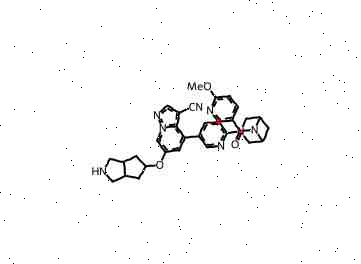 COc1ccc(C(=O)N2C3CC2CN(c2ccc(-c4cc(OC5CC6CNCC6C5)cn5ncc(C#N)c45)cn2)C3)cn1